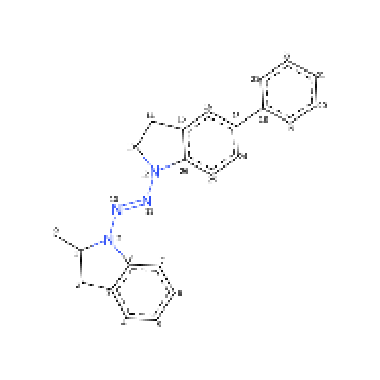 CC1Cc2ccccc2N1N=NN1CCc2cc(-c3ccccc3)ccc21